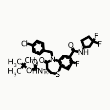 CC(C)(C)OC(=O)N[C@H]1CSc2cc(F)c(C(=O)N[C@H]3CCC(F)(F)C3)cc2N(Cc2ccc(Cl)cc2)C1=O